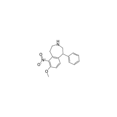 COc1ccc2c(c1[N+](=O)[O-])CCNCC2c1ccccc1